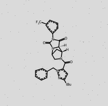 CC(C)(C)c1cc(C(=O)N2CC3C[C@@H]2[C@@H]2C(=O)N(c4cccc(C(F)(F)F)c4)C(=O)N32)n(Cc2ccccc2)n1